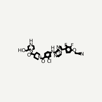 N#CCOc1ccc(-c2cnc3c(Nc4ccc(C(=O)N5CCC(C(=O)N6CCNCC6CO)CC5)c(Cl)c4)nccn23)c(F)c1F